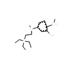 CC[N+](CC)(CC)CCN(C)c1ccc(NC)c(N)c1